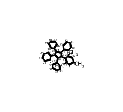 Cc1cc(C)c(C2C(c3ccccc3)=C(c3ccccc3)C(c3ccccc3)=C2c2ccccc2)c(C)c1